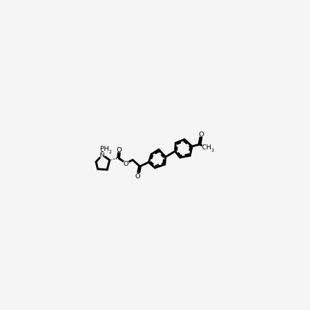 CC(=O)c1ccc(-c2ccc(C(=O)COC(=O)[C@@H]3CCCN3P)cc2)cc1